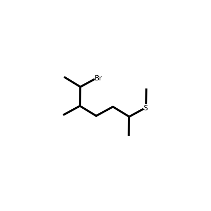 CSC(C)CCC(C)C(C)Br